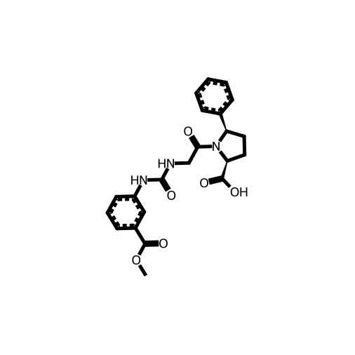 COC(=O)c1cccc(NC(=O)NCC(=O)N2[C@@H](c3ccccc3)CC[C@H]2C(=O)O)c1